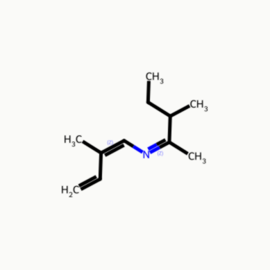 C=C/C(C)=C\N=C(\C)C(C)CC